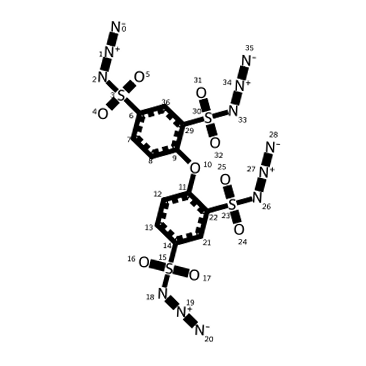 [N-]=[N+]=NS(=O)(=O)c1ccc(Oc2ccc(S(=O)(=O)N=[N+]=[N-])cc2S(=O)(=O)N=[N+]=[N-])c(S(=O)(=O)N=[N+]=[N-])c1